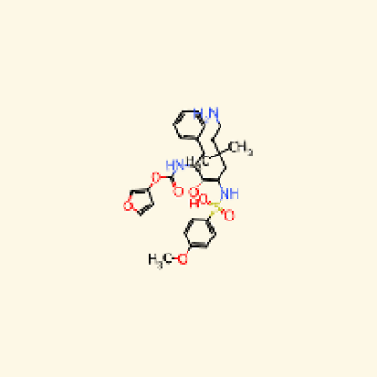 COc1ccc(S(=O)(=O)NC(CC(C)(C)CCN)[C@H](O)[C@H](Cc2ccccc2)NC(=O)Oc2ccoc2)cc1